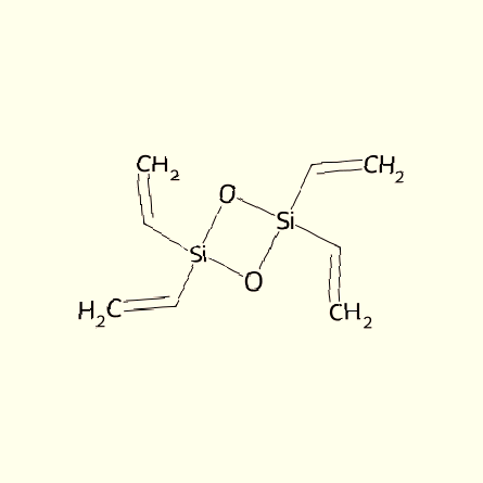 C=C[Si]1(C=C)O[Si](C=C)(C=C)O1